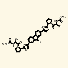 COC(=O)NC(C(=O)N1CCCC1c1ncc(-c2ccc3c(c2)C(=O)c2cc(-c4cnc(C5CCCN5C(=O)C(NC(=O)OC)C(C)C)[nH]4)ccc2-3)[nH]1)C(C)C